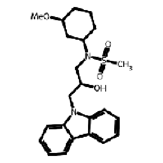 COC1CCCC(N(CC(O)Cn2c3ccccc3c3ccccc32)S(C)(=O)=O)C1